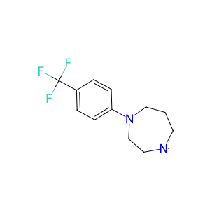 FC(F)(F)c1ccc(N2CCC[N]CC2)cc1